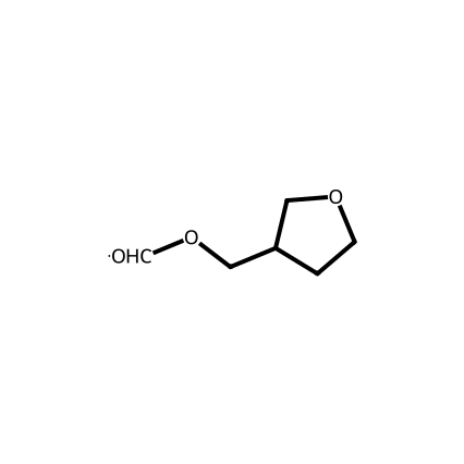 O=[C]OCC1CCOC1